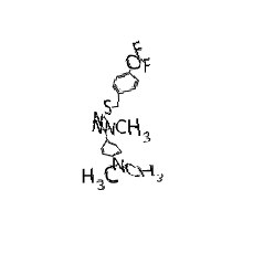 CN(C)c1ccc(-c2nnc(SCc3ccc(OC(F)F)cc3)n2C)cc1